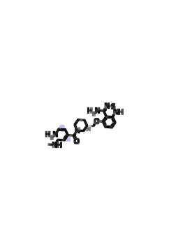 CNC/C=C(\C=C/N)C(=O)N1CCC[C@H](COc2cccc3c2C(N)=NSN3)C1